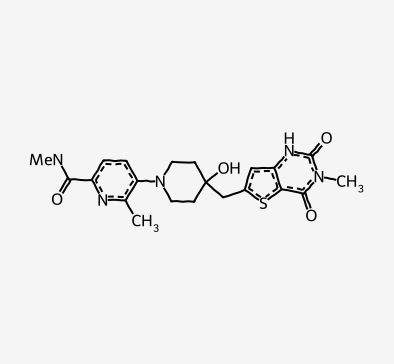 CNC(=O)c1ccc(N2CCC(O)(Cc3cc4[nH]c(=O)n(C)c(=O)c4s3)CC2)c(C)n1